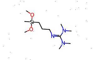 CO[Si](C)(CCCN=C(N(C)C)N(C)C)OC